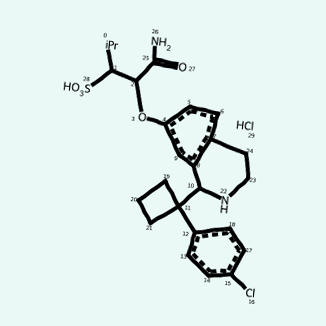 CC(C)C(C(Oc1ccc2c(c1)C(C1(c3ccc(Cl)cc3)CCC1)NCC2)C(N)=O)S(=O)(=O)O.Cl